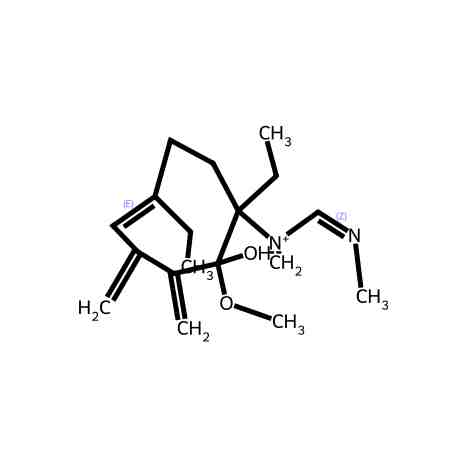 C=C1/C=C(\CC)CCC(CC)([N+](=C)/C=N\C)C(O)(OC)C1=C